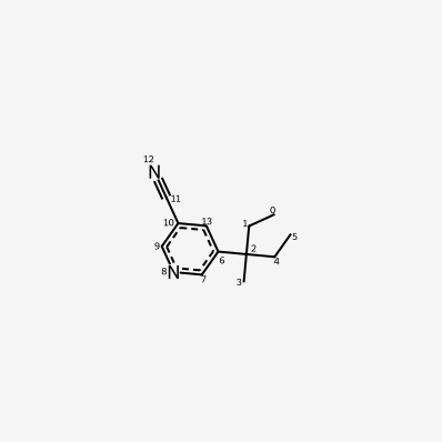 CCC(C)(CC)c1cncc(C#N)c1